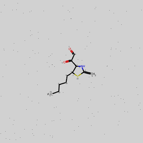 C=C1NC(C(=O)C=O)C(CCCCC)S1